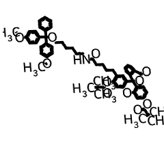 COc1ccc(C(OCCCCCCNC(=O)CCCCc2cc3c(cc2OC(=O)C(C)(C)C)Oc2cc(OC(=O)C(C)(C)C)ccc2C32OC(=O)c3ccccc32)(c2ccccc2)c2ccc(OC)cc2)cc1